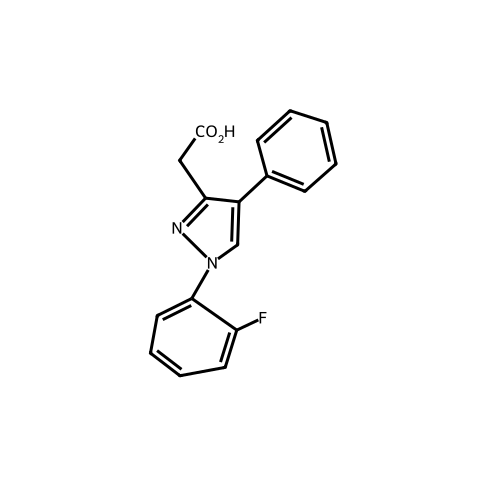 O=C(O)Cc1nn(-c2ccccc2F)cc1-c1ccccc1